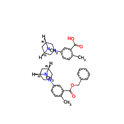 Cc1ccc(N2C[C@H]3C[C@@H](C2)N3C)cc1C(=O)O.Cc1ccc(N2C[C@H]3C[C@@H](C2)N3C)cc1C(=O)OCc1ccccc1